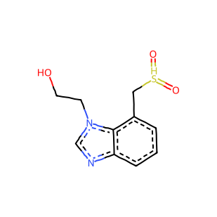 O=[SH](=O)Cc1cccc2ncn(CCO)c12